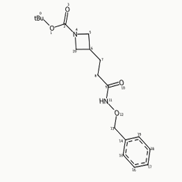 CC(C)(C)OC(=O)N1CC(CCC(=O)NOCc2ccccc2)C1